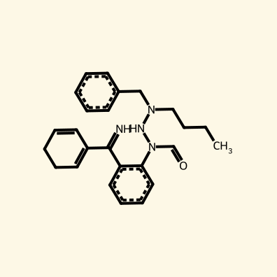 CCCCN(Cc1ccccc1)NN(C=O)c1ccccc1C(=N)C1=CCCC=C1